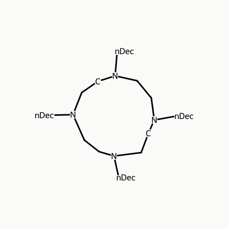 CCCCCCCCCCN1CCN(CCCCCCCCCC)CCN(CCCCCCCCCC)CCN(CCCCCCCCCC)CC1